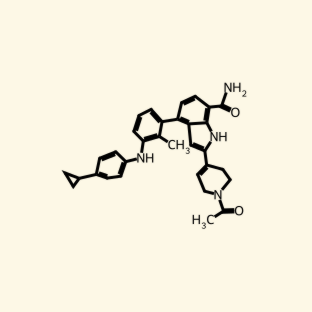 CC(=O)N1CC=C(c2cc3c(-c4cccc(Nc5ccc(C6CC6)cc5)c4C)ccc(C(N)=O)c3[nH]2)CC1